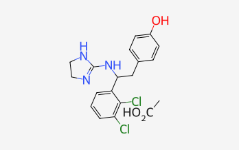 CC(=O)O.Oc1ccc(CC(NC2=NCCN2)c2cccc(Cl)c2Cl)cc1